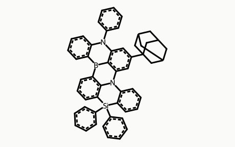 c1ccc(N2c3ccccc3B3c4cccc5c4N(c4ccccc4[Si]5(c4ccccc4)c4ccccc4)c4cc(C56CC7CC(CC(C7)C5)C6)cc2c43)cc1